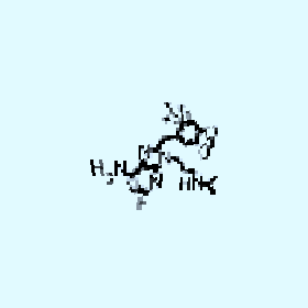 CC(C)NCCCn1c(Cc2cc3c(c[c]2[Sn]([CH3])([CH3])[CH3])OCO3)nc2c(N)nc(F)nc21